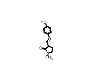 CN1CCC(COc2ccc(O)cc2)C1=O